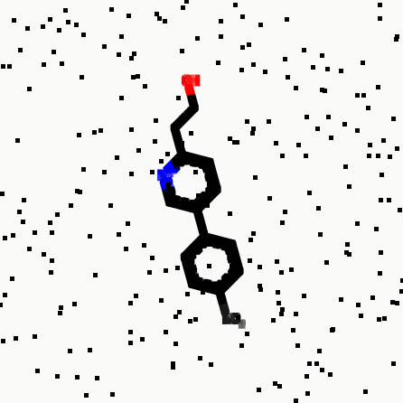 O=[N+]([O-])c1ccc(-c2ccc(CCO)nc2)cc1